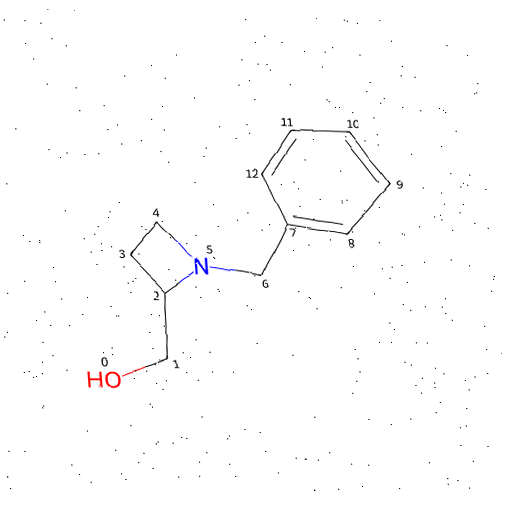 OCC1CCN1Cc1ccccc1